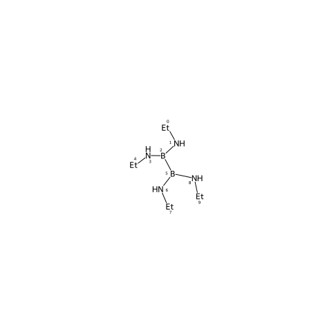 CCNB(NCC)B(NCC)NCC